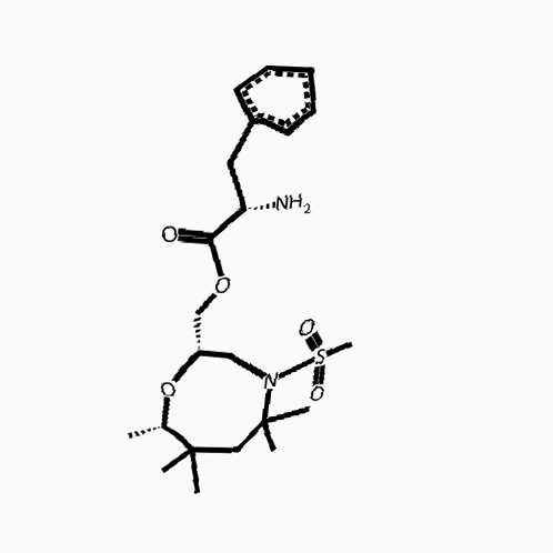 C[C@@H]1O[C@H](COC(=O)[C@@H](N)Cc2ccccc2)CN(S(C)(=O)=O)C(C)(C)CC1(C)C